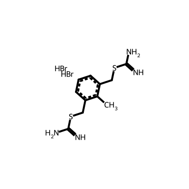 Br.Br.Cc1c(CSC(=N)N)cccc1CSC(=N)N